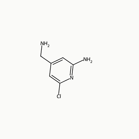 NCc1cc(N)nc(Cl)c1